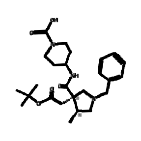 C[C@@H]1CN(Cc2ccccc2)C[C@]1(CC(=O)OC(C)(C)C)C(=O)NC1CCN(C(=O)O)CC1